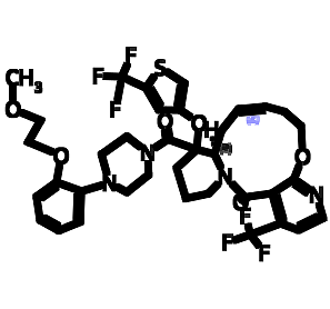 COCCOc1ccccc1N1CCN(C(=O)C2(Oc3csc(C(F)(F)F)c3)CCCN3C(=O)c4c(C(F)(F)F)ccnc4OCC/C=C\C[C@@H]32)CC1